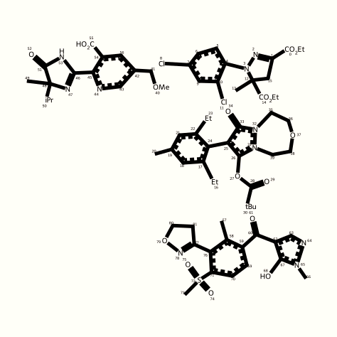 CCOC(=O)C1=NN(c2ccc(Cl)cc2Cl)C(C)(C(=O)OCC)C1.CCc1cc(C)cc(CC)c1-c1c(OC(=O)C(C)(C)C)n2n(c1=O)CCOCC2.COCc1cnc(C2=NC(C)(C(C)C)C(=O)N2)c(C(=O)O)c1.Cc1c(C(=O)c2cnn(C)c2O)ccc(S(C)(=O)=O)c1C1=NOCC1